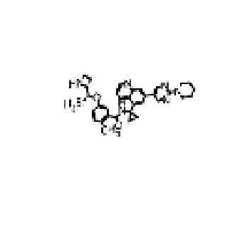 Cc1ccc(O[C@@H]([SiH3])[C@@H]2CCN2)cc1C(=O)NC1(c2cc(-c3cnc(N4CCCCC4)nc3)cc3ncccc23)CC1